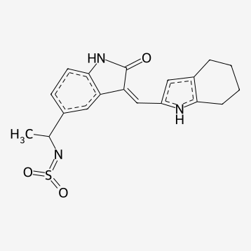 CC(N=S(=O)=O)c1ccc2c(c1)/C(=C/c1cc3c([nH]1)CCCC3)C(=O)N2